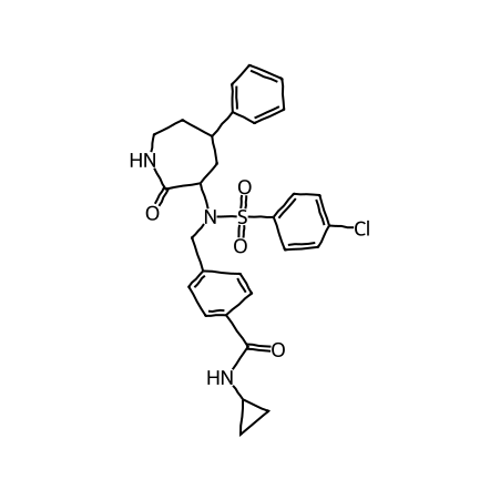 O=C(NC1CC1)c1ccc(CN(C2CC(c3ccccc3)CCNC2=O)S(=O)(=O)c2ccc(Cl)cc2)cc1